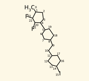 CC1CCC(C2CCC(CCC3CCC(I)CC3)CC2)C(F)C1F